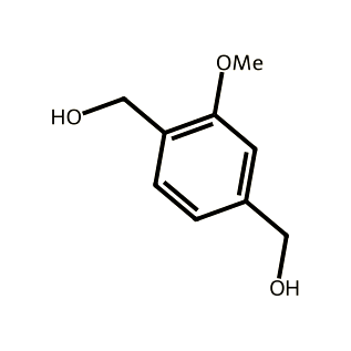 COc1cc(CO)ccc1CO